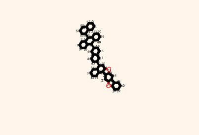 c1ccc2c(-c3c4ccccc4c(-c4ccc5cc(-c6cc7oc8cc9c(cc8c7c7ccccc67)oc6ccccc69)ccc5c4)c4ccccc34)cccc2c1